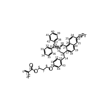 C=C(F)C(=O)OCCCOc1ccc(CC(C)c2ccc3cc(CCC)ccc3c2/C=N/N(c2ccccc2)c2ccccc2)cc1